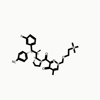 Cc1cn(COCC[Si](C)(C)C)nc(C(=O)N2CCC[C@@H]2[C@H](C)[C@H](c2ccc(C#N)cc2)c2cccc(F)c2)c1=O